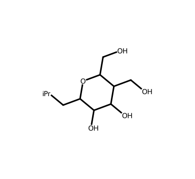 CC(C)CC1OC(CO)C(CO)C(O)C1O